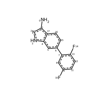 Nc1n[nH]c2cc(-c3cc(F)ccc3F)ccc12